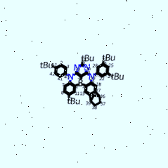 CC(C)(C)c1ccc(N2c3ccc(C(C)(C)C)cc3B3c4cc5c(cc4N(c4cc(C(C)(C)C)cc(C(C)(C)C)c4)c4nc(C(C)(C)C)nc2c43)C2CCC5C2)cc1